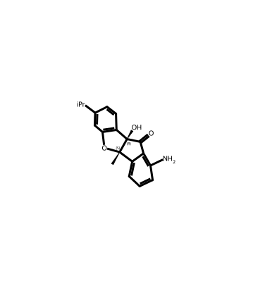 CC(C)c1ccc2c(c1)O[C@@]1(C)c3cccc(N)c3C(=O)[C@@]21O